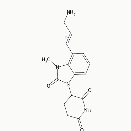 Cn1c(=O)n(C2CCC(=O)NC2=O)c2cccc(/C=C/CN)c21